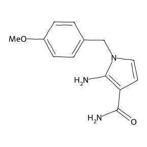 COc1ccc(Cn2ccc(C(N)=O)c2N)cc1